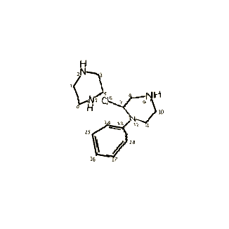 C1CNCCN1.ClC1CNCCN1c1ccccc1